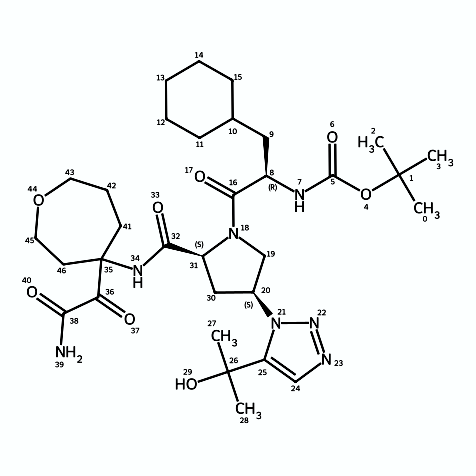 CC(C)(C)OC(=O)N[C@H](CC1CCCCC1)C(=O)N1C[C@@H](n2nncc2C(C)(C)O)C[C@H]1C(=O)NC1(C(=O)C(N)=O)CCCOCC1